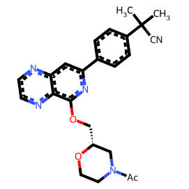 CC(=O)N1CCO[C@H](COc2nc(-c3ccc(C(C)(C)C#N)cc3)cc3nccnc23)C1